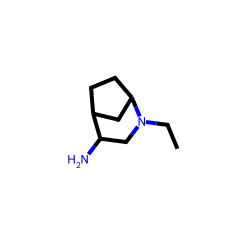 CCN1CC(N)C2CCC1C2